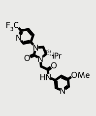 COc1cncc(NC(=O)CN2C(=O)N(c3ccc(C(F)(F)F)nc3)C[C@@H]2C(C)C)c1